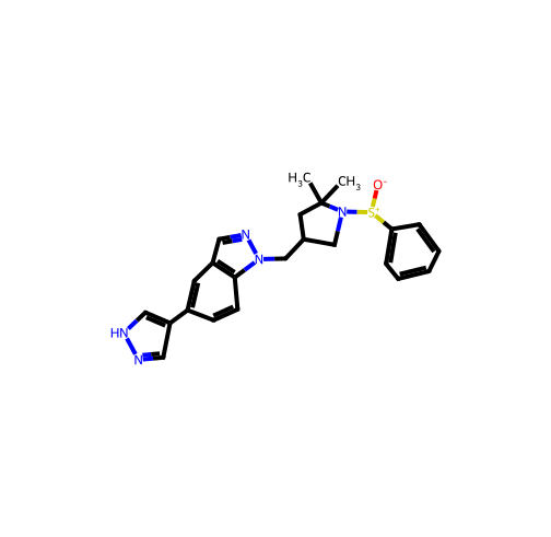 CC1(C)CC(Cn2ncc3cc(-c4cn[nH]c4)ccc32)CN1[S+]([O-])c1ccccc1